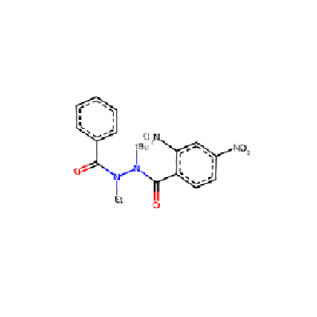 CCN(C(=O)c1ccccc1)N(C(=O)c1ccc([N+](=O)[O-])cc1[N+](=O)[O-])C(C)(C)C